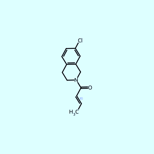 C/C=C/C(=O)N1CCc2ccc(Cl)cc2C1